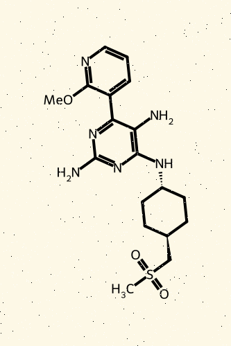 COc1ncccc1-c1nc(N)nc(N[C@H]2CC[C@H](CS(C)(=O)=O)CC2)c1N